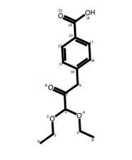 CCOC(OCC)C(=O)Cc1ccc(C(=O)O)cc1